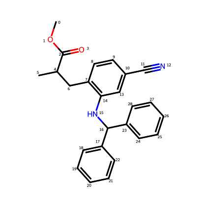 COC(=O)C(C)Cc1ccc(C#N)cc1NC(c1ccccc1)c1ccccc1